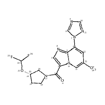 O=C(c1cnc2c(-n3cncn3)cc(C(F)(F)F)cn12)N1CC[C@H](OC(F)F)C1